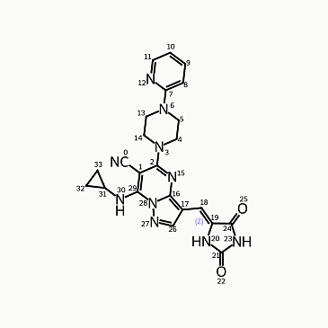 N#Cc1c(N2CCN(c3ccccn3)CC2)nc2c(/C=C3\NC(=O)NC3=O)cnn2c1NC1CC1